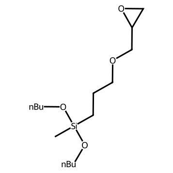 CCCCO[Si](C)(CCCOCC1CO1)OCCCC